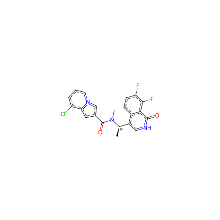 C[C@H](c1c[nH]c(=O)c2c(F)c(F)ccc12)N(C)C(=O)c1cc2c(Cl)cccn2c1